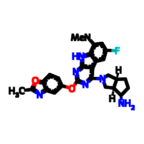 CNc1cc(F)cc2c1[nH]c1nc(Oc3ccc4oc(C)nc4c3)nc(N3C[C@H]4CC[C@@H](N)[C@H]4C3)c12